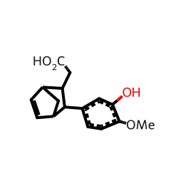 COc1ccc(C2C3C=CC(C3)C2CC(=O)O)cc1O